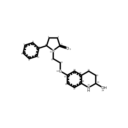 O=C1CCC(c2ccccc2)N1CCOc1ccc2c(c1)CCC(O)N2